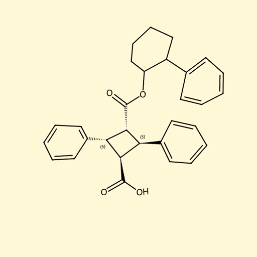 O=C(O)[C@H]1[C@H](c2ccccc2)[C@H](C(=O)OC2CCCCC2c2ccccc2)[C@H]1c1ccccc1